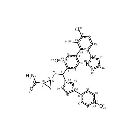 NC(=O)[C@@H]1C[C@H]1CC(c1ccc(-c2c(-n3cnnn3)ccc(Cl)c2F)c[n+]1[O-])n1cc(-c2cc[n+]([O-])cc2)cn1